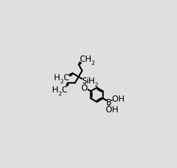 C=CCC(C=C)(CC=C)[SiH2]Oc1ccc(B(O)O)cc1